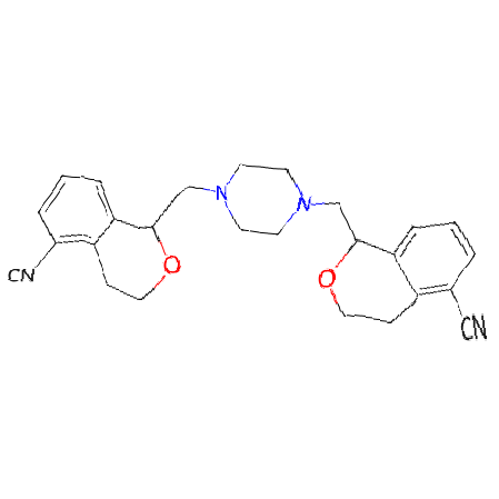 [C-]#[N+]c1cccc2c1CCOC2CN1CCN(CC2OCCc3c(C#N)cccc32)CC1